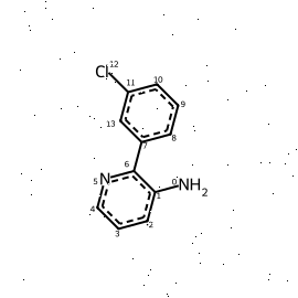 Nc1[c]ccnc1-c1cccc(Cl)c1